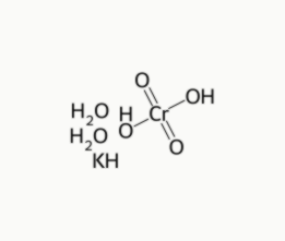 O.O.[KH].[O]=[Cr](=[O])([OH])[OH]